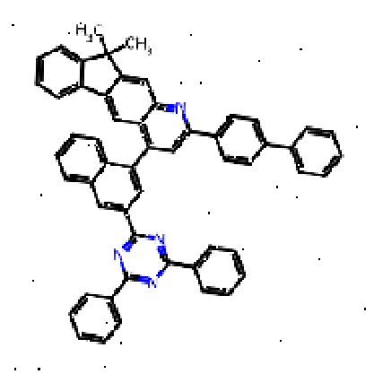 CC1(C)c2ccccc2-c2cc3c(-c4cc(-c5nc(-c6ccccc6)nc(-c6ccccc6)n5)cc5ccccc45)cc(-c4ccc(-c5ccccc5)cc4)nc3cc21